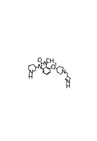 Cn1c(=O)n(C2CCCNC2)c2cccc(OC3CCN(CC4CNC4)CC3)c21